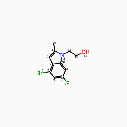 Cc1cc2c(Br)cc(F)cc2n1CCO